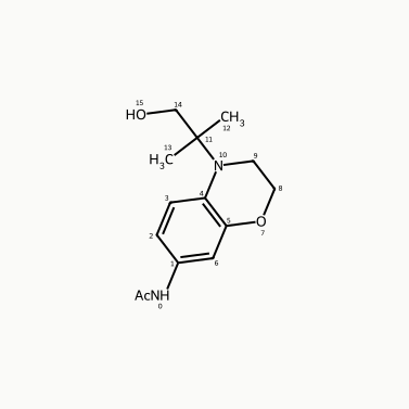 CC(=O)Nc1ccc2c(c1)OCCN2C(C)(C)CO